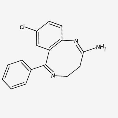 NC1=Nc2ccc(Cl)cc2C(c2ccccc2)=NCC1